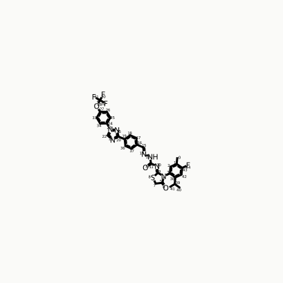 Cc1cc(N2C(=O)CS/C2=N\C(=O)N/N=C/c2ccc(-c3ncn(-c4ccc(OC(F)(F)F)cc4)n3)cc2)c(C(C)C)cc1F